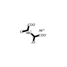 CCCCC(CC)C(=O)[O-].O=C([O-])CCl.[Ni+2]